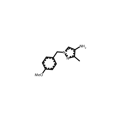 COc1ccc(Cn2cc(N)c(C)n2)cc1